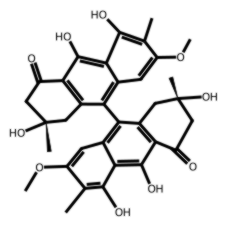 COc1cc2c(-c3c4c(c(O)c5c(O)c(C)c(OC)cc35)C(=O)C[C@@](C)(O)C4)c3c(c(O)c2c(O)c1C)C(=O)C[C@@](C)(O)C3